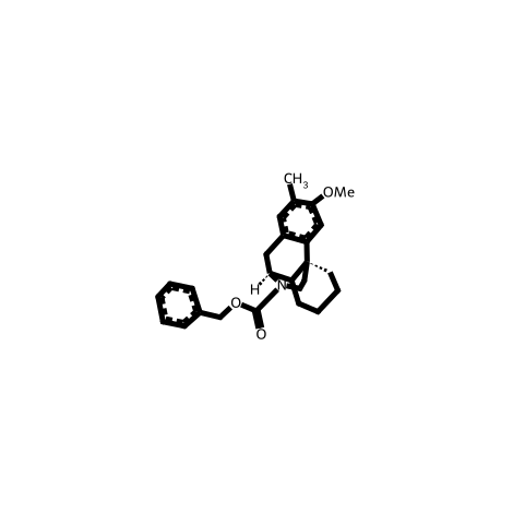 COc1cc2c(cc1C)C[C@H]1C3CCCC[C@@]23CCN1C(=O)OCc1ccccc1